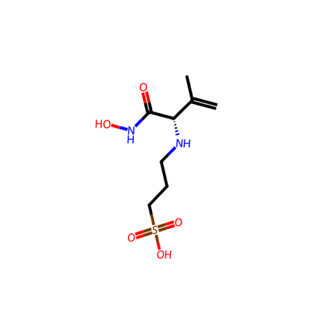 C=C(C)[C@H](NCCCS(=O)(=O)O)C(=O)NO